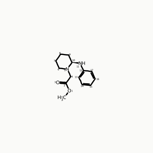 COC(=O)CN1CCCC[C@H]1Nc1ccccc1